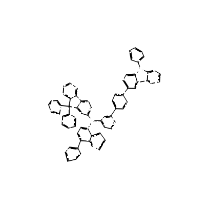 c1ccc(-c2ccc(N(c3cccc(-c4ccc(-c5ccc6c(c5)c5ccccc5n6-c5ccccc5)cc4)c3)c3ccc4c(c3)C(c3ccccc3)(c3ccccc3)c3ccccc3-4)c3ccccc23)cc1